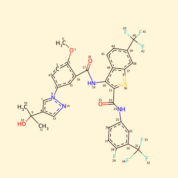 COc1ccc(-n2cc(C(C)(C)O)cn2)cc1C(=O)Nc1c(C(=O)Nc2ccc(F)c(C(F)(F)F)c2)sc2cc(C(F)(F)F)ccc12